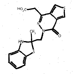 CC1(Cn2nc(CC(=O)O)c3cscc3c2=O)Nc2ccccc2S1